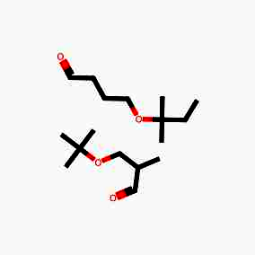 CC(C=O)COC(C)(C)C.CCC(C)(C)OCCCC=O